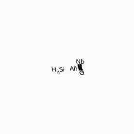 [AlH3].[O]=[Nb].[SiH4]